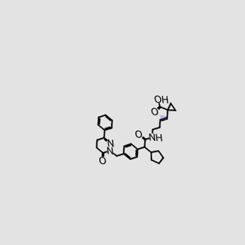 O=C(NCC/C=C/C1(C(=O)O)CC1)C(c1ccc(CN2N=C(c3ccccc3)CCC2=O)cc1)C1CCCC1